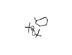 CC(C)(C)OOC(C)(C)C.CC1CCCCC1